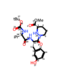 COC(=O)[C@@H]1CCCN(C(=O)[C@H](Cc2cccc(O)c2)NC(=O)[C@@H](NC(=O)OC(C)(C)C)C(C)C)N1